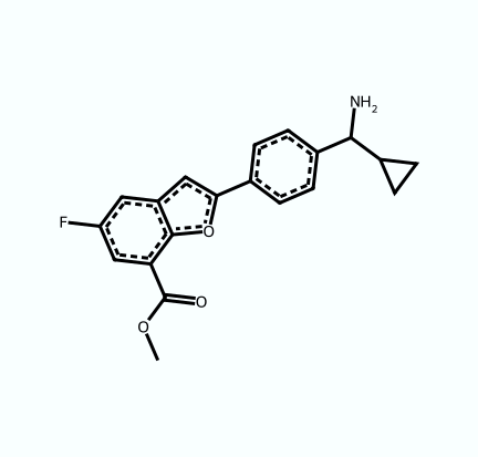 COC(=O)c1cc(F)cc2cc(-c3ccc(C(N)C4CC4)cc3)oc12